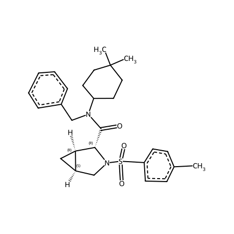 Cc1ccc(S(=O)(=O)N2C[C@H]3C[C@H]3[C@@H]2C(=O)N(Cc2ccccc2)C2CCC(C)(C)CC2)cc1